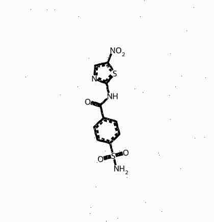 NS(=O)(=O)c1ccc(C(=O)Nc2ncc([N+](=O)[O-])s2)cc1